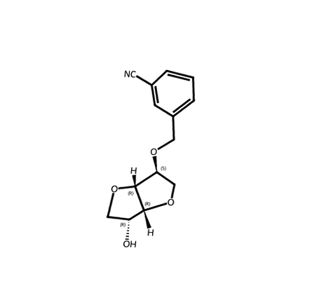 N#Cc1cccc(CO[C@H]2CO[C@H]3[C@@H]2OC[C@H]3O)c1